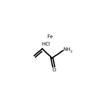 C=CC(N)=O.Cl.[Fe]